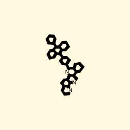 c1ccc(-c2c3ccccc3c(-c3ccc(-c4nc5c(cnc6c5ccc5cccnc56)c5ccccc45)cc3)c3ccccc23)cc1